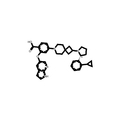 O=C(O)c1ccc(N2CCC3(CC2)CC(N2CCC[C@@H]2c2ccccc2C2CC2)C3)cc1Oc1cnc2[nH]ccc2c1